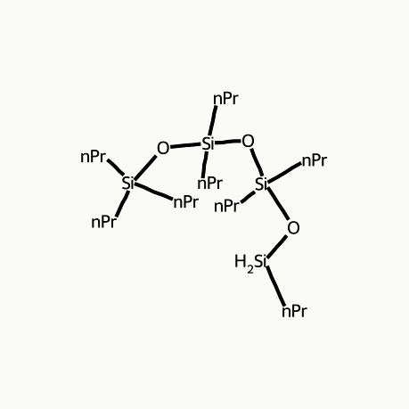 CCC[SiH2]O[Si](CCC)(CCC)O[Si](CCC)(CCC)O[Si](CCC)(CCC)CCC